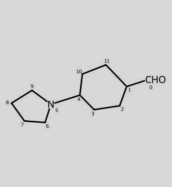 O=CC1CCC(N2CCCC2)CC1